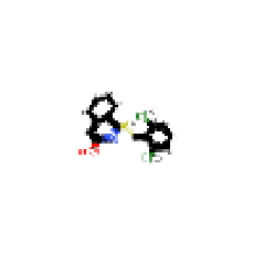 Oc1cc2c(c(SCc3c(Cl)cccc3Cl)n1)CCCC2